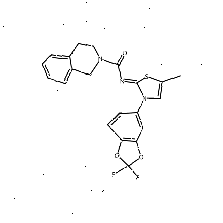 Cc1cn(-c2ccc3c(c2)OC(F)(F)O3)/c(=N/C(=O)N2CCc3ccccc3C2)s1